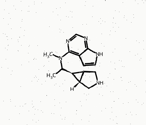 CC([C@H]1C2CNC[C@@H]21)N(C)c1ncnc2[nH]ccc12